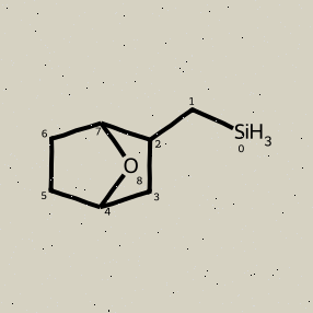 [SiH3]CC1CC2CCC1O2